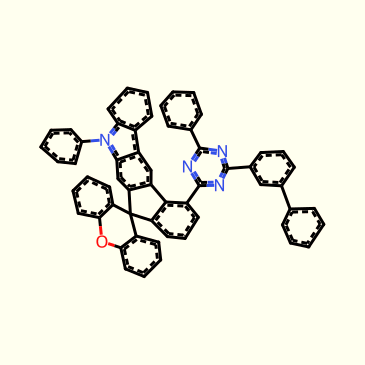 c1ccc(-c2cccc(-c3nc(-c4ccccc4)nc(-c4cccc5c4-c4cc6c7ccccc7n(-c7ccccc7)c6cc4C54c5ccccc5Oc5ccccc54)n3)c2)cc1